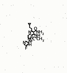 CC(C)Nc1c(C(N)=O)c(CCC2CC2)nc2ccc(Nc3cncc(F)c3)nc12